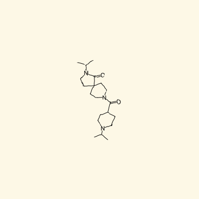 CC(C)N1CCC(C(=O)N2CCC3(CC2)CCN(C(C)C)C3=O)CC1